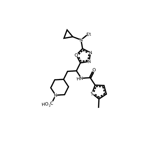 CCN(c1nnc(C(CC2CCN(C(=O)O)CC2)NC(=O)c2ccc(C)s2)o1)C1CC1